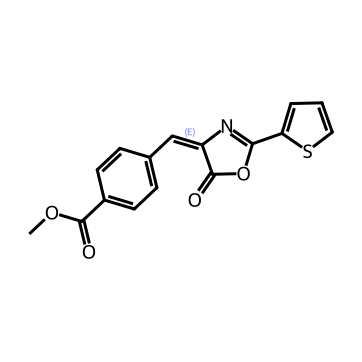 COC(=O)c1ccc(/C=C2/N=C(c3cccs3)OC2=O)cc1